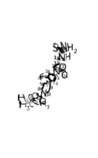 CC(C)(C)OC(=O)N1CCN(c2ccc(N3C[C@H](CNC(N)=S)OC3=O)cc2F)CC1